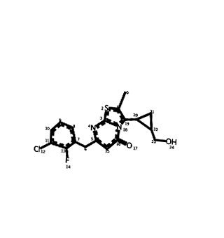 Cc1sc2nc(Cc3cccc(Cl)c3F)cc(=O)n2c1C1CC1CO